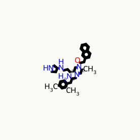 Cc1ccc(C[C@H](N)CN2C[C@@H](C)N(C(=O)Cc3ccc4ccccc4c3)C[C@@H]2CCCNC2CCNC2)c(C)c1